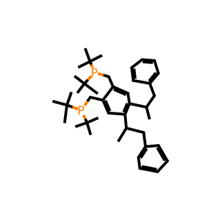 CC(Cc1ccccc1)c1cc(CP(C(C)(C)C)C(C)(C)C)c(CP(C(C)(C)C)C(C)(C)C)cc1C(C)Cc1ccccc1